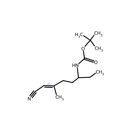 CCC(CC/C(C)=C/C#N)NC(=O)OC(C)(C)C